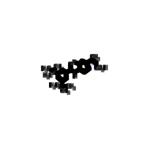 C/C(=C/C(=O)O)c1ccc(NC(=O)c2cc([Si](C)(C)C)cc([Si](C)(C)C)c2)c(F)c1